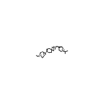 CCN1CCN(C2CCC3(CC2)CN(CC2CCN(C(C)C)CC2)C3)CC1